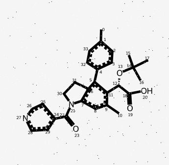 Cc1ccc(-c2c3c(cc(C)c2[C@H](OC(C)(C)C)C(=O)O)N(C(=O)c2ccncc2)CC3)cc1